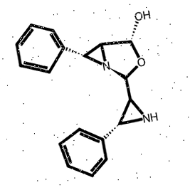 O[C@@H]1OC(C2N[C@@H]2c2ccccc2)[N@]2C1[C@H]2c1ccccc1